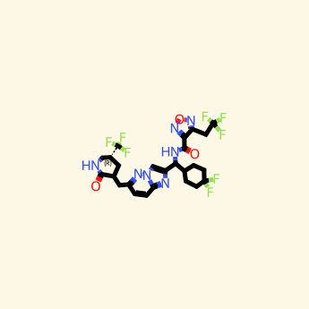 O=C(NC(c1cn2nc(CC3C[C@@H](C(F)(F)F)CNC3=O)ccc2n1)C1CCC(F)(F)CC1)c1nonc1CC(F)(F)F